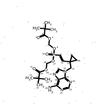 CC(C)(C)C(=O)OCOP(=O)(/C=C/C1(Cn2cnc3c(N)ncnc32)CC1)OCOC(=O)C(C)(C)C